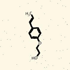 CC=Cc1ccc(OCCO)cc1